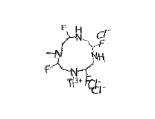 CN1CC(F)NCC(F)NCC(F)[N]([Ti+3])CC1F.[Cl-].[Cl-].[Cl-]